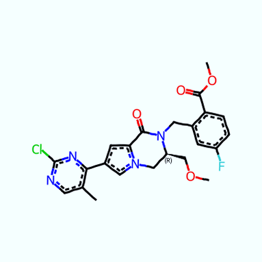 COC[C@H]1Cn2cc(-c3nc(Cl)ncc3C)cc2C(=O)N1Cc1cc(F)ccc1C(=O)OC